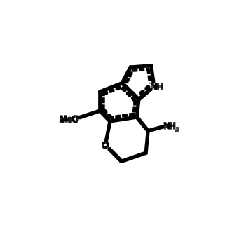 COc1cc2cc[nH]c2c2c1OCCC2N